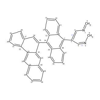 C=N/C=C(\C=N/C)c1c2ccccc2c(-c2cc3ccccc3c3cc4ccccc4cc23)c2ccccc12